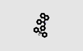 O=P(c1ccccc1)(c1ccccc1)c1ccc(/C=C(\c2ccccc2)c2cccc3ccccc23)cc1